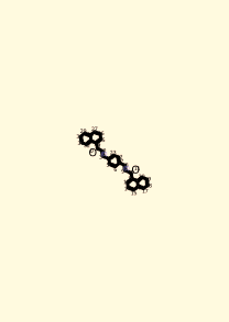 O=C(/C=C/c1ccc(/C=C/C(=O)c2cccc3ccccc23)cc1)c1cccc2ccccc12